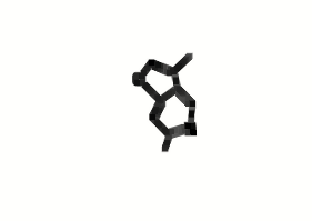 Cc1cc2occ(C)c2cn1